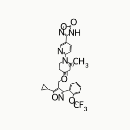 C[C@@H]1C[C@H](OCc2c(-c3ccccc3OC(F)(F)F)noc2C2CC2)CCN1c1ccc(-c2noc(=O)[nH]2)cn1